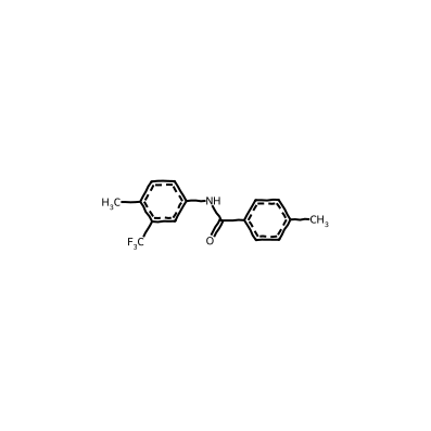 Cc1ccc(C(=O)Nc2ccc(C)c(C(F)(F)F)c2)cc1